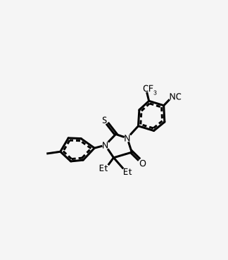 [C-]#[N+]c1ccc(N2C(=O)C(CC)(CC)N(c3ccc(C)cc3)C2=S)cc1C(F)(F)F